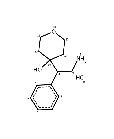 Cl.NCC(c1ccccc1)C1(O)CCOCC1